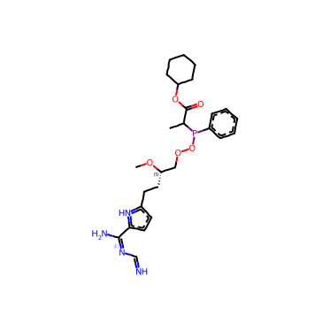 CO[C@@H](CCc1ccc(/C(N)=N\C=N)[nH]1)COOP(c1ccccc1)C(C)C(=O)OC1CCCCC1